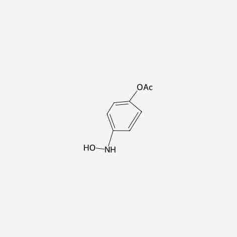 CC(=O)Oc1ccc(NO)cc1